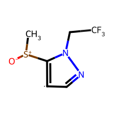 C[S+]([O-])c1[c]cnn1CC(F)(F)F